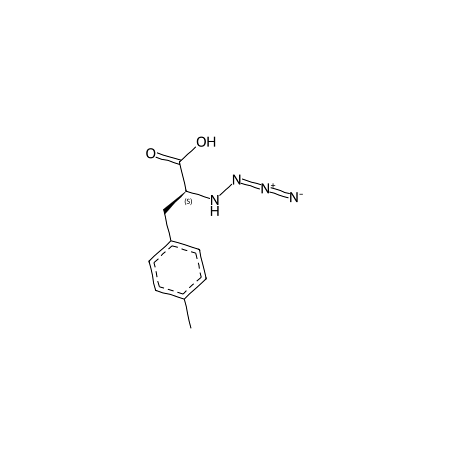 Cc1ccc(C[C@H](NN=[N+]=[N-])C(=O)O)cc1